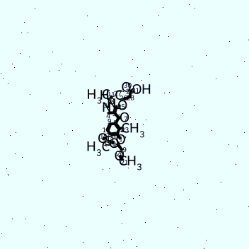 CCn1ncc(C(=O)c2ccc(S(C)(=O)=O)c(OCCOC)c2C)c1OC(C)CC(=O)O